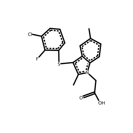 Cc1ccc2c(c1)c(Sc1cccc(Cl)c1F)c(C)n2CC(=O)O